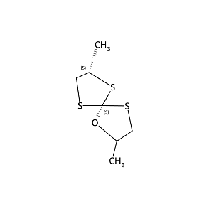 CC1CS[C@@]2(O1)SC[C@H](C)S2